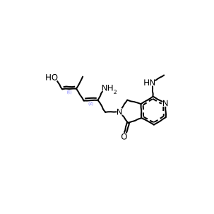 CNc1nccc2c1CN(C/C(N)=C/C(C)=C/O)C2=O